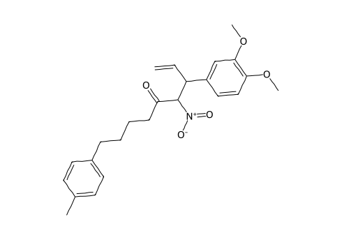 C=CC(c1ccc(OC)c(OC)c1)C(C(=O)CCCCc1ccc(C)cc1)[N+](=O)[O-]